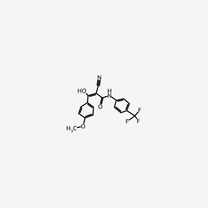 COc1ccc(C(O)=C(C#N)C(=O)Nc2ccc(C(F)(F)F)cc2)cc1